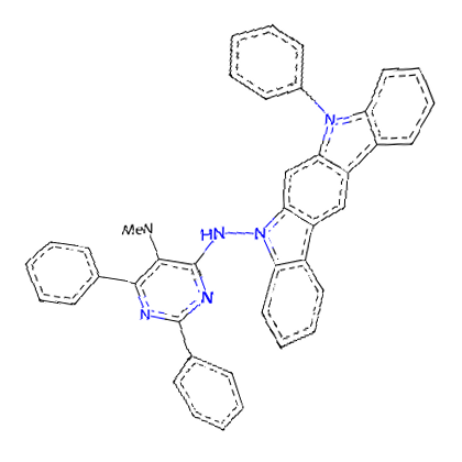 CNc1c(Nn2c3ccccc3c3cc4c5ccccc5n(-c5ccccc5)c4cc32)nc(-c2ccccc2)nc1-c1ccccc1